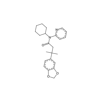 CC(C)(CC(=O)N(c1ccccn1)C1CCCCC1)c1ccc2c(c1)OCO2